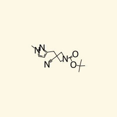 Cn1ccc(CC2(C#N)CN(C(=O)OC(C)(C)C)C2)n1